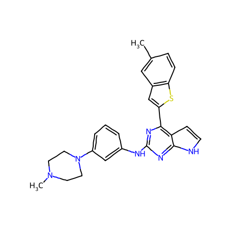 Cc1ccc2sc(-c3nc(Nc4cccc(N5CCN(C)CC5)c4)nc4[nH]ccc34)cc2c1